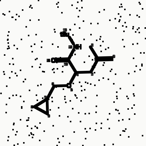 C=C(C)CC(OCC1CC1)C(=O)NC(C)(C)C